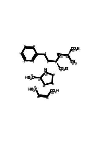 CCOC(=O)[C@H](CCc1ccccc1)N[C@@H](C)C(=O)O.O=C(O)/C=C\C(=O)O.O=C(O)[C@@H]1CCCN1